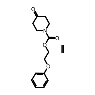 C=C.O=C1CCN(C(=O)OCCOc2ccccc2)CC1